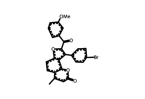 COc1cccc(C(=O)c2oc3ccc4c(C)cc(=O)oc4c3c2-c2ccc(Br)cc2)c1